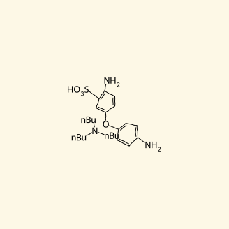 CCCCN(CCCC)CCCC.Nc1ccc(Oc2ccc(N)c(S(=O)(=O)O)c2)cc1